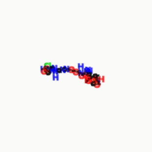 CCOC(=O)CC(c1ccc(C)c(CN2CC(C)Oc3ccccc3S2(O)O)c1)c1cc(OCC(=O)NCCOCCOCCN2CCN(c3ccc(Nc4ncc(Cl)c(Nc5ccccc5S(=O)(=O)C(C)C)n4)cc3)CC2)c2c(c1)nnn2C